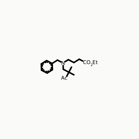 CCOC(=O)CCCN(Cc1ccccc1)CC(C)(C)C(C)=O